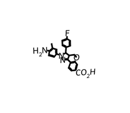 Cc1cc(N2N=C3c4ccc(C(=O)O)cc4OCC3C2c2ccc(F)cc2)ccc1N